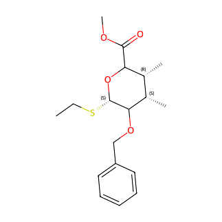 CCS[C@@H]1OC(C(=O)OC)[C@H](C)[C@H](C)C1OCc1ccccc1